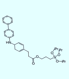 CC(C)O[Si](CCCOC(=O)CCC1=CCC(Nc2ccc(-c3ccccc3)cc2)C=C1)(OC(C)C)OC(C)C